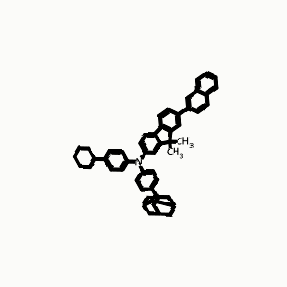 CC1(C)c2cc(-c3ccc4ccccc4c3)ccc2-c2ccc(N(c3ccc(C4CCCCC4)cc3)c3ccc(C45CC6CC(CC(C6)C4)C5)cc3)cc21